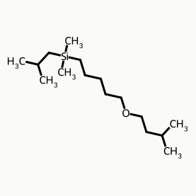 CC(C)CCOCCCCC[Si](C)(C)CC(C)C